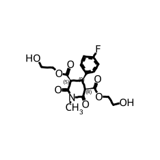 CN1C(=O)[C@@H](C(=O)OCCO)[C@@H](c2ccc(F)cc2)[C@@H](C(=O)OCCO)C1=O